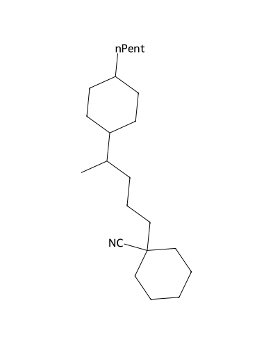 CCCCCC1CCC(C(C)CCCC2(C#N)CCCCC2)CC1